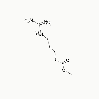 COC(=O)CCCCNC(=N)N